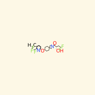 Cc1ccc(OC2CCC3(CC2)CN(C(=O)[C@@H](CO)CC(F)F)C3)nc1C(F)(F)F